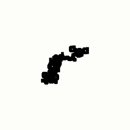 C=C(C)C(=O)O[C@@H]1CC2=CC[C@H]3[C@@H]4CC[C@H]([C@H](C)CCCC(C)Cc5ccc(Cl)cc5Cl)[C@@]4(C)CC[C@@H]3[C@@]2(C)CC1OC(C)=O